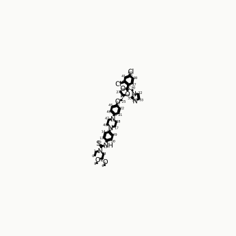 CCN(CC(OC)OC)C(=S)Nc1ccc(N2CCN(c3ccc(OC[C@@H]4CO[C@@](Cn5ccnc5)(c5ccc(Cl)cc5Cl)O4)cc3)CC2)cc1